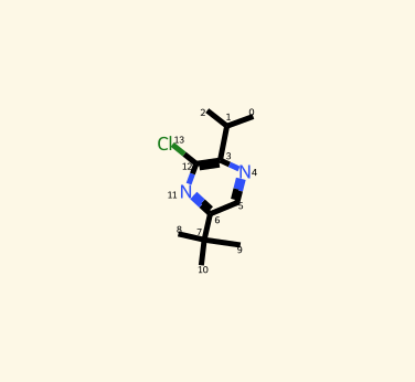 CC(C)c1ncc(C(C)(C)C)nc1Cl